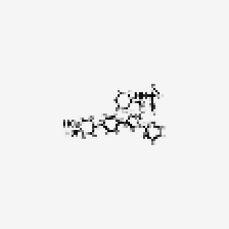 N#CC1(NC(=O)[C@@H]2CCCC[C@H]2c2nn(-c3ncccn3)cc2-c2ccc(N3CCS(O)(O)CC3)cc2)CC1